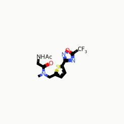 CC(=O)NCC(=O)N(C)Cc1ccc(-c2noc(C(F)(F)F)n2)s1